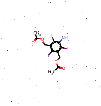 CC(=O)OCc1c(I)c(N)c(I)c(COC(C)=O)c1I